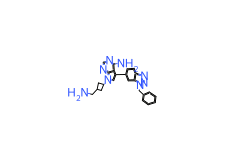 NCC1CC(n2cc(-c3ccc4nnn(Cc5ccccc5)c4c3)c3c(N)ncnc32)C1